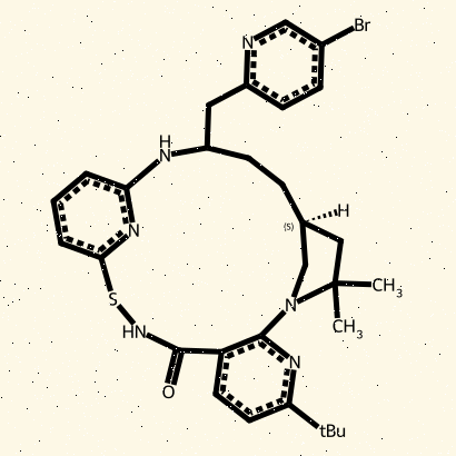 CC(C)(C)c1ccc2c(n1)N1C[C@@H](CCC(Cc3ccc(Br)cn3)Nc3cccc(n3)SNC2=O)CC1(C)C